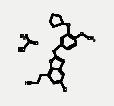 COc1ccc(Cc2nc3cc(Cl)cc(CCO)c3o2)cc1OC1CCCC1.NC(=O)O